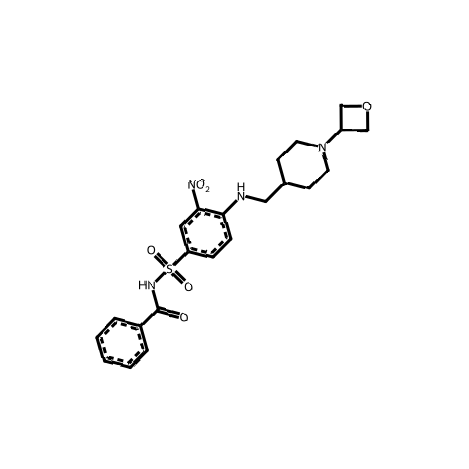 O=C(NS(=O)(=O)c1ccc(NCC2CCN(C3COC3)CC2)c([N+](=O)[O-])c1)c1ccccc1